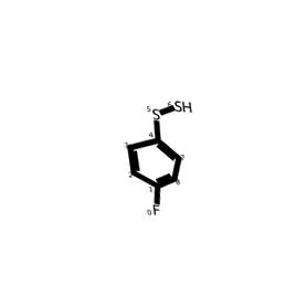 Fc1ccc(SS)cc1